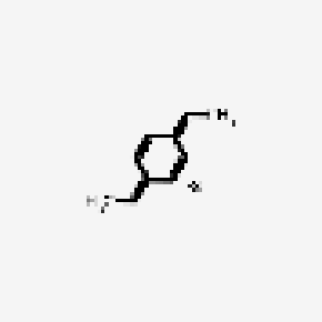 CC=c1ccc(=CC)cc1.[Re]